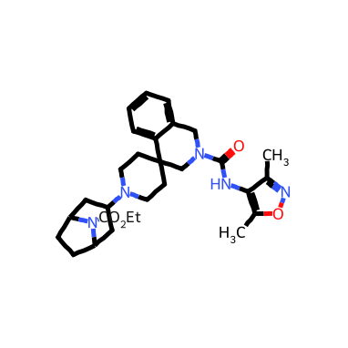 CCOC(=O)N1C2CCC1CC(N1CCC3(CC1)CN(C(=O)Nc1c(C)noc1C)Cc1ccccc13)C2